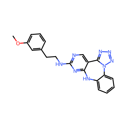 COc1cccc(CCNc2ncc3c(n2)Nc2ccccc2-n2nnnc2-3)c1